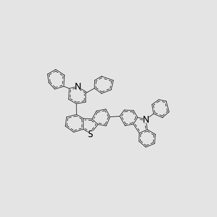 c1ccc(-c2cc(-c3cccc4sc5cc(-c6ccc7c(c6)c6ccccc6n7-c6ccccc6)ccc5c34)cc(-c3ccccc3)n2)cc1